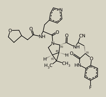 CC1(C)[C@@H]2[C@@H](C(=O)NC(C#N)C[C@@H]3Oc4ccc(F)cc4NC3=O)N(C(=O)C(Cc3ccncc3)NC(=O)CC3CCOC3)C[C@@H]21